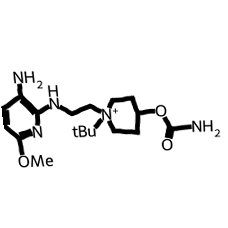 COc1ccc(N)c(NCC[N+]2(C(C)(C)C)CCC(OC(N)=O)CC2)n1